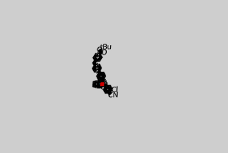 CC(C)(C)OC(=O)N1CCC(CN2CCN(c3ccc(OC(=O)N4C5CCC4CC(Oc4ccc(C#N)c(Cl)c4)C5)cc3)CC2)CC1